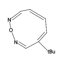 CC(C)(C)c1ccccnonc1